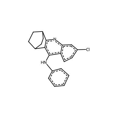 Clc1ccc2c(Nc3ccccc3)c3c(nc2c1)C1CCC3CC1